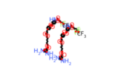 Nc1cc(N)cc(C(=O)OCCCCCCOC(=O)C=Cc2ccc(OC(=O)c3ccc(NC(=O)OCCCC(F)(F)C(F)(F)C(F)(F)F)cc3)cc2)c1.Nc1cc(N)cc(C(=O)OCCCCCCOC(=O)C=Cc2ccc(OC(=O)c3ccc(NC(=O)OCCCC(F)(F)C(F)(F)F)cc3)cc2)c1